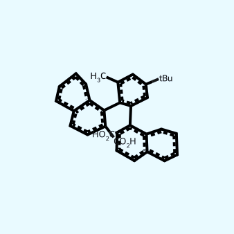 Cc1cc(C(C)(C)C)cc(-c2c(C(=O)O)ccc3ccccc23)c1-c1c(C(=O)O)ccc2ccccc12